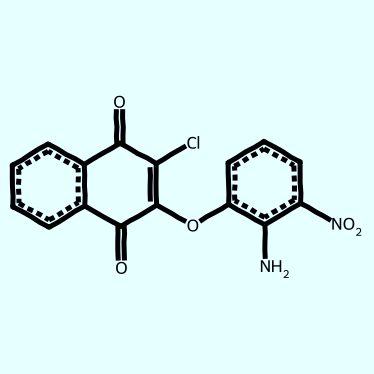 Nc1c(OC2=C(Cl)C(=O)c3ccccc3C2=O)cccc1[N+](=O)[O-]